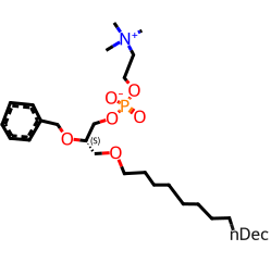 CCCCCCCCCCCCCCCCCCOC[C@@H](COP(=O)([O-])OCC[N+](C)(C)C)OCc1ccccc1